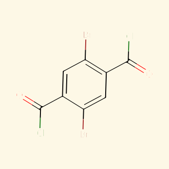 O=C(Cl)c1cc(Br)c(C(=O)Cl)cc1Br